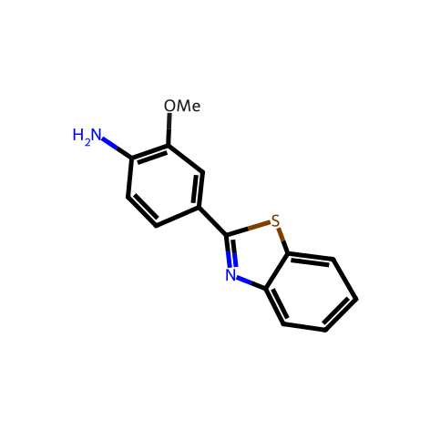 COc1cc(-c2nc3ccccc3s2)ccc1N